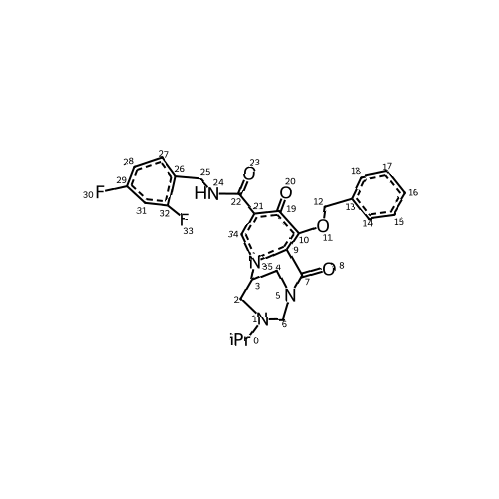 CC(C)N1CC2CN(C1)C(=O)c1c(OCc3ccccc3)c(=O)c(C(=O)NCc3ccc(F)cc3F)cn12